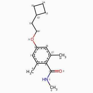 CNC(=O)c1c(C)cc(OCCC2CCC2)cc1C